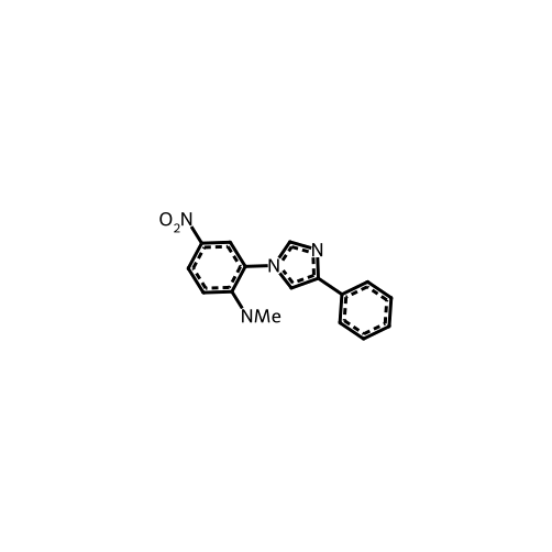 CNc1ccc([N+](=O)[O-])cc1-n1cnc(-c2ccccc2)c1